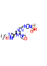 COc1ncc(-c2cn3cc(CN4CCN(C[SH](=O)=O)CC4)nc3c(N3CCOCC3)n2)cn1